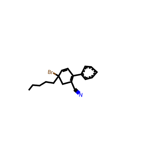 CCCCCC1(Br)C=CC(c2ccccc2)=C(C#N)C1